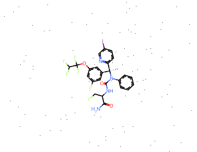 C[C@](c1cc(F)cc(OC(F)(F)C(F)F)c1)(c1ccc(I)cn1)N(C(=O)NC(CF)C(N)=O)c1ccccc1